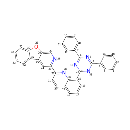 c1ccc(-c2nc(-c3ccccc3)nc(-c3cccc4ccc(-c5cc6c(cn5)oc5ccccc56)nc34)n2)cc1